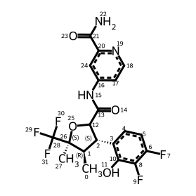 C[C@@H]1[C@@H](c2ccc(F)c(F)c2O)C(C(=O)Nc2ccnc(C(N)=O)c2)O[C@]1(C)C(F)(F)F